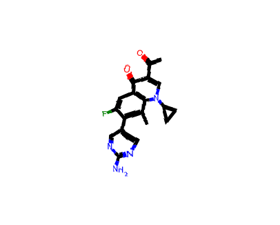 CC(=O)c1cn(C2CC2)c2c(C)c(-c3cnc(N)nc3)c(F)cc2c1=O